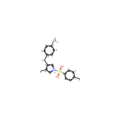 Cc1ccc(S(=O)(=O)n2cc(C)c(Cc3ccc(C(F)(F)F)cc3)c2)cc1